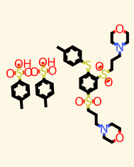 Cc1ccc(S(=O)(=O)O)cc1.Cc1ccc(S(=O)(=O)O)cc1.Cc1ccc(Sc2ccc(S(=O)(=O)CCCN3CCOCC3)cc2S(=O)(=O)CCCN2CCOCC2)cc1